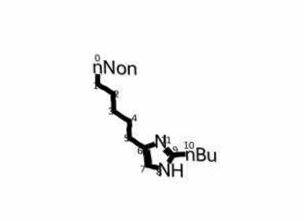 CCCCCCCCCCCCCCc1c[nH]c(CCCC)n1